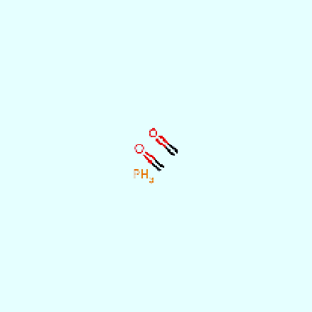 C=O.C=O.P